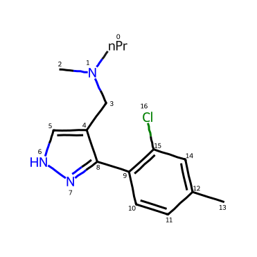 CCCN(C)Cc1c[nH]nc1-c1ccc(C)cc1Cl